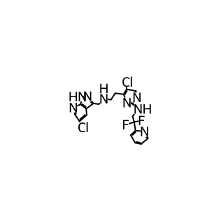 FC(F)(CNc1ncc(Cl)c(CCNCc2n[nH]c3ncc(Cl)cc23)n1)c1ccccn1